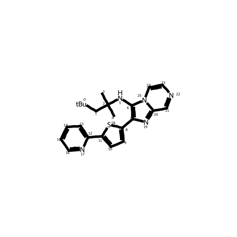 CC(C)(C)CC(C)(C)Nc1c(-c2ccc(-c3ccccn3)s2)nc2cnccn12